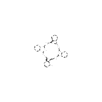 [Co][c]1cccc2c3nc4nc(nc5[nH]c(nc6nc(nc([nH]3)c12)-c1ccccc1-6)c1ccccc51)-c1ccccc1-4